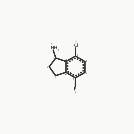 NC1CCc2c(F)ccc(Cl)c21